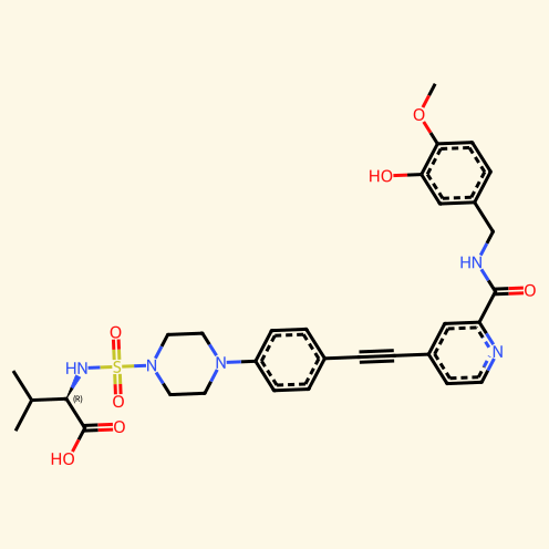 COc1ccc(CNC(=O)c2cc(C#Cc3ccc(N4CCN(S(=O)(=O)N[C@@H](C(=O)O)C(C)C)CC4)cc3)ccn2)cc1O